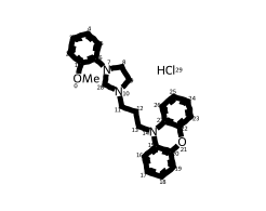 COc1ccccc1N1CCN(CCCN2c3ccccc3Oc3ccccc32)C1.Cl